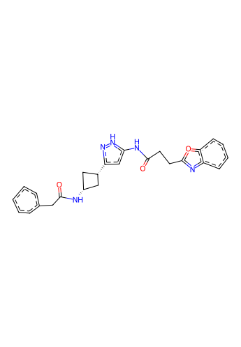 O=C(CCc1nc2ccccc2o1)Nc1cc([C@H]2C[C@@H](NC(=O)Cc3ccccc3)C2)n[nH]1